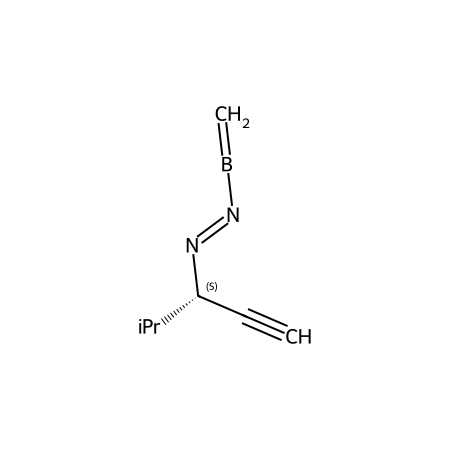 C#C[C@@H](N=NB=C)C(C)C